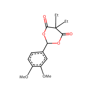 CCC1(CC)C(=O)OC(c2ccc(OC)c(OC)c2)OC1=O